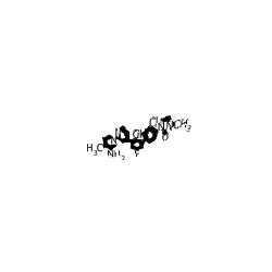 CC1CCN(c2cc(-c3cc(F)cc(-c4ccc(N5CCN(C)C5=O)c(Cl)c4)c3O)ccn2)C[C@H]1N